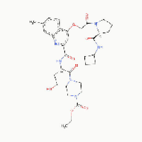 CCOC(=O)N1CCN(C(=O)[C@H](CCO)NC(=O)c2cc(OCC(=O)N3CCC[C@H]3C(=O)NC3CCC3)c3ccc(C)cc3n2)CC1